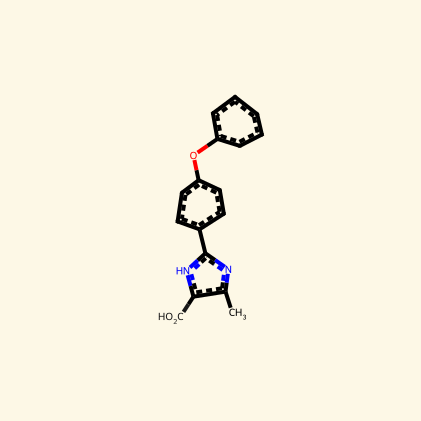 Cc1nc(-c2ccc(Oc3ccccc3)cc2)[nH]c1C(=O)O